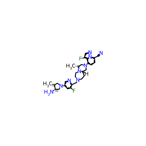 C[C@@H]1CN(c2ccc(C#N)n3ncc(F)c23)C[C@@H]2CCN(Cc3ncc(N4C[C@@H](N)[C@@H](C)C4)cc3F)CCN21